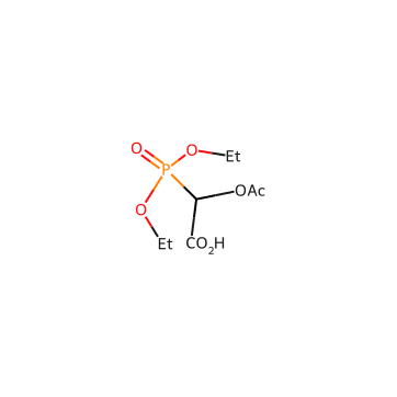 CCOP(=O)(OCC)C(OC(C)=O)C(=O)O